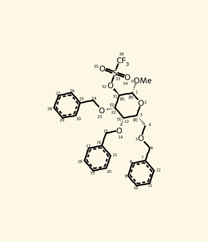 CO[C@@H]1O[C@H](COCc2ccccc2)[C@H](OCc2ccccc2)[C@H](OCc2ccccc2)[C@H]1OS(=O)(=O)C(F)(F)F